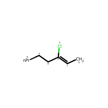 [CH2]C=C(Cl)CCCCC